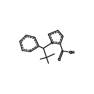 CC(C)(C)C(c1ccccc1)n1cccc1C(=O)O